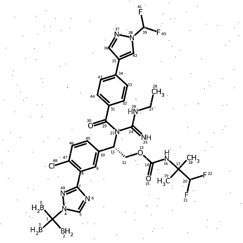 BC(B)(B)n1cnc(-c2cc([C@@H](COC(=O)NC(C)(C)C(F)F)N(C(=N)NCC)C(=O)c3ccc(-c4cnn(C(F)F)c4)cc3)ccc2Cl)n1